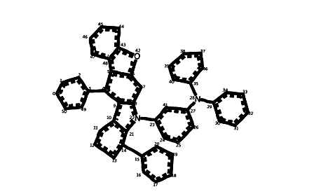 c1ccc(-c2c3c(cc4c2c2cccc(-c5ccccc5)c2n4-c2cccc(N(c4ccccc4)c4ccccc4)c2)oc2ccccc23)cc1